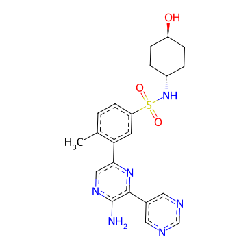 Cc1ccc(S(=O)(=O)N[C@H]2CC[C@H](O)CC2)cc1-c1cnc(N)c(-c2cncnc2)n1